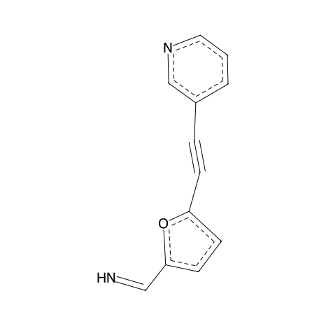 N=Cc1ccc(C#Cc2cccnc2)o1